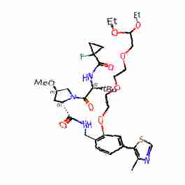 CCOC(COCCOCCOc1cc(-c2scnc2C)ccc1CNC(=O)[C@@H]1C[C@@H](OC)CN1C(=O)[C@@H](NC(=O)C1(F)CC1)C(C)(C)C)OCC